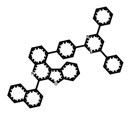 c1ccc(-c2cc(-c3ccccc3)nc(-c3ccc(-c4cccc5nc(-c6cccc7ccccc67)c6oc7ccccc7c6c45)cc3)n2)cc1